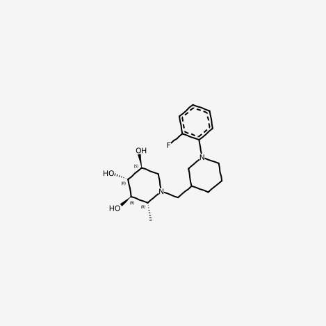 C[C@@H]1[C@@H](O)[C@H](O)[C@@H](O)CN1CC1CCCN(c2ccccc2F)C1